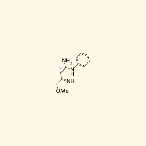 COCC(=N)/C=C(/N)Nc1ccccc1